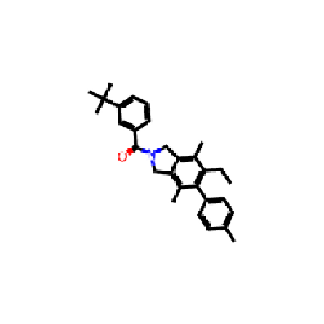 CCc1c(C)c2c(c(C)c1-c1ccc(C)cc1)CN(C(=O)c1cccc(C(C)(C)C)c1)C2